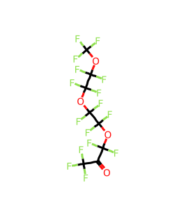 O=C(C(F)(F)F)C(F)(F)OC(F)(F)C(F)(F)OC(F)(F)C(F)(F)OC(F)(F)F